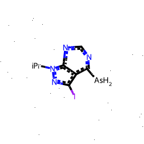 CC(C)n1nc(I)c2c([AsH2])ncnc21